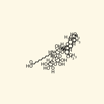 C[C@@H]1O[C@@H](O[C@H]2[C@H](OC(=O)[C@]34CCC(C)(C)C[C@H]3C3=CC[C@@H]5[C@@]6(C)CC/C(=N/O)C(C)(C)[C@@H]6CC[C@@]5(C)[C@]3(C)C[C@H]4O)O[C@H](CO)[C@H](NC(=O)CCCCCCCCCCC(=O)O)[C@@H]2O)[C@H](O)[C@H](O)[C@H]1O[C@@H]1OC[C@@H](O)[C@H](O)[C@H]1O